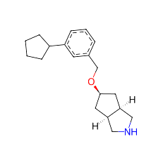 c1cc(CO[C@H]2C[C@H]3CNC[C@H]3C2)cc(C2CCCC2)c1